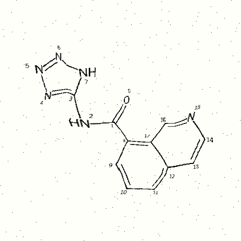 O=C(Nc1nnn[nH]1)c1cccc2ccncc12